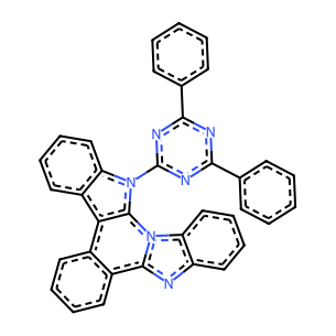 c1ccc(-c2nc(-c3ccccc3)nc(-n3c4ccccc4c4c5ccccc5c5nc6ccccc6n5c43)n2)cc1